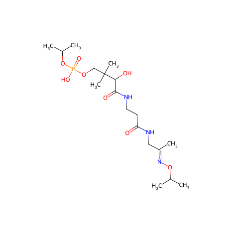 C/C(CNC(=O)CCNC(=O)C(O)C(C)(C)COP(=O)(O)OC(C)C)=N\OC(C)C